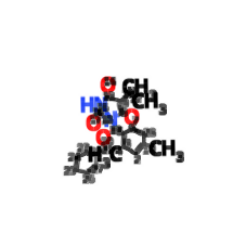 Cc1cc(C)cc(Oc2c(C(C)C)c(=O)[nH]c(=O)n2COCc2ccccc2)c1